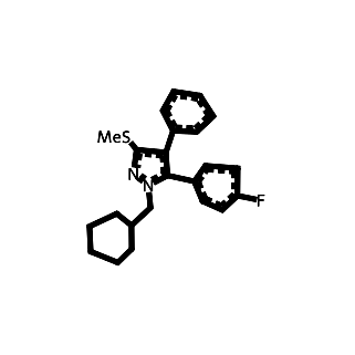 CSc1nn(CC2CCCCC2)c(-c2ccc(F)cc2)c1-c1ccccc1